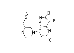 N#CCC1CN(c2nc(Cl)nc3c(F)c(Cl)ncc23)CCN1